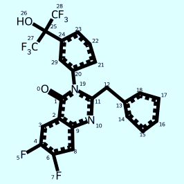 O=c1c2cc(F)c(F)cc2nc(Cc2ccccc2)n1-c1cccc(C(O)(C(F)(F)F)C(F)(F)F)c1